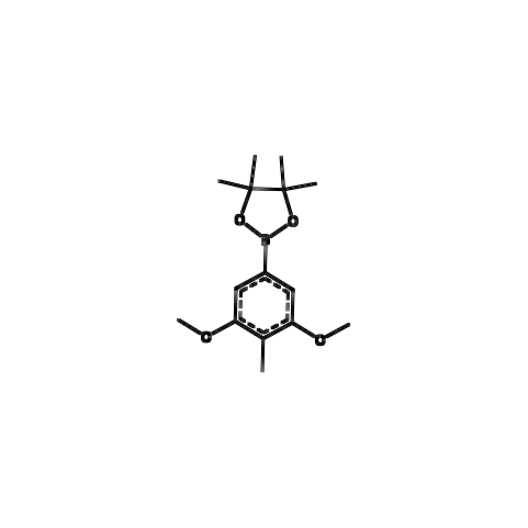 COc1cc(B2OC(C)(C)C(C)(C)O2)cc(OC)c1C